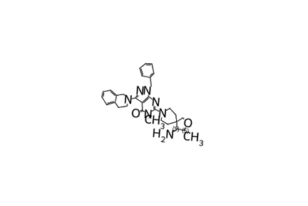 C[C@@H]1OCC2(CCN(c3nc4c(c(N5CCc6ccccc6C5)nn4Cc4ccccc4)c(=O)n3C)CC2)[C@@H]1N